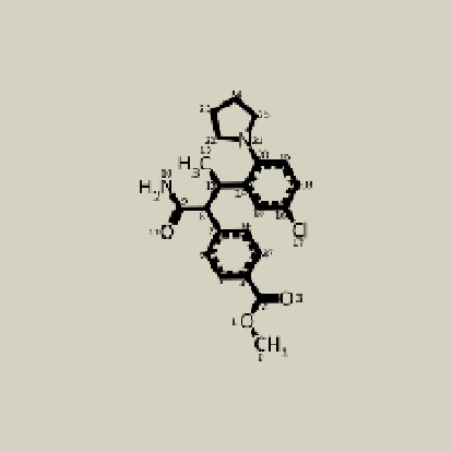 COC(=O)c1ccc(C(C(N)=O)C(C)c2cc(Cl)ccc2N2CCCC2)cc1